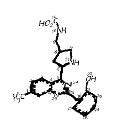 Cc1ccc2c(C3CC(CNC(=O)O)CN3)nc(-c3ccccc3O)nc2c1